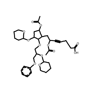 CC(=O)OC(C#CCCC(=O)O)CC1C(OC(C)=O)CC(OC2CCCCO2)C1OCC(COc1ccccc1)OC1CCCCO1